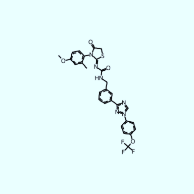 COc1ccc(N2C(=O)CSC2=NC(=O)NCc2cccc(-c3ncn(-c4ccc(OC(F)(F)F)cc4)n3)c2)c(C)c1